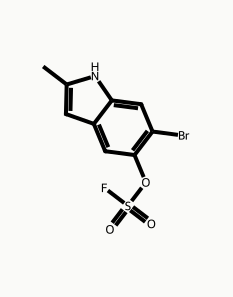 Cc1cc2cc(OS(=O)(=O)F)c(Br)cc2[nH]1